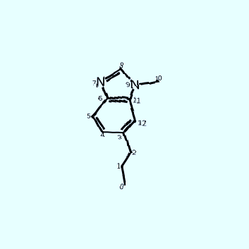 CCCc1ccc2ncn(C)c2c1